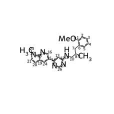 COc1ccccc1CC(C)CNc1cc(-c2cnc3c(ccn3C)c2)ncn1